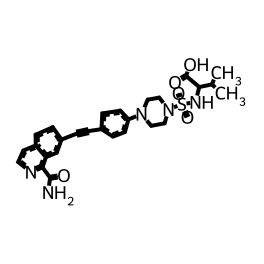 CC(C)C(NS(=O)(=O)N1CCN(c2ccc(C#Cc3ccc4ccnc(C(N)=O)c4c3)cc2)CC1)C(=O)O